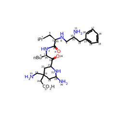 CCCC[C@@H](NC(=O)[C@@H](CC(C)C)NC[C@H](N)Cc1ccccc1)C(=O)C1CC(CN)(CC(=O)O)CC(N)N1